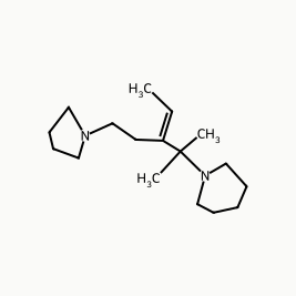 CC=C(CCN1CCCC1)C(C)(C)N1CCCCC1